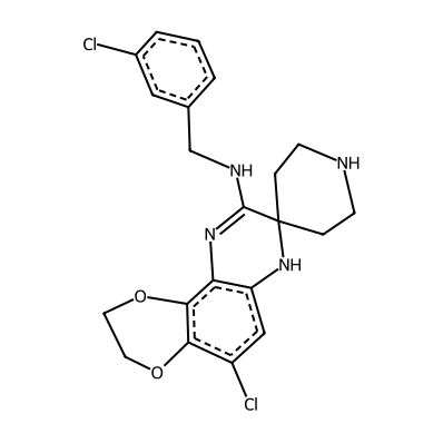 Clc1cccc(CNC2=Nc3c(cc(Cl)c4c3OCCO4)NC23CCNCC3)c1